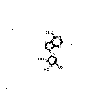 Cc1ncnc2c1ncn2[C@H]1C=C(O)[C@H](O)[C@@H]1O